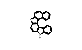 c1ccc2c(c1)ccc1sc3ccc4[nH]c5ccccc5c4c3c12